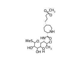 CSC1O[C@H]([C@H](NC(=O)[C@@H]2CC[C@H](CCCS(C)(=O)=O)CCN2)[C@H](C)Cl)C(O)C(O)[C@H]1O